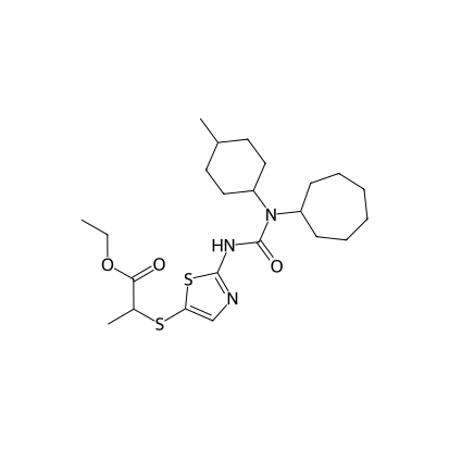 CCOC(=O)C(C)Sc1cnc(NC(=O)N(C2CCCCCC2)C2CCC(C)CC2)s1